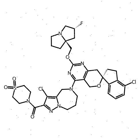 O=C(c1nn2c(c1Cl)CN(c1nc(OC[C@@]34CCCN3C[C@H](F)C4)nc3c1CO[C@@]1(CCc4c(Cl)cccc41)C3)CCC2)N1CCS(=O)(=O)CC1